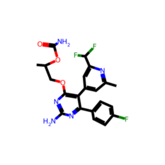 Cc1cc(-c2c(OCC(C)OC(N)=O)nc(N)nc2-c2ccc(F)cc2)cc(C(F)F)n1